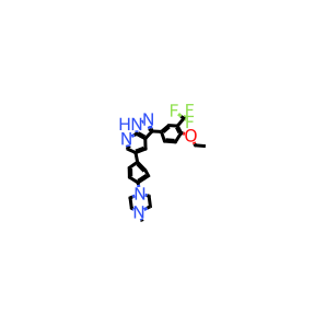 CCOc1ccc(-c2n[nH]c3ncc(-c4ccc(N5CCN(C)CC5)cc4)cc23)cc1C(F)(F)F